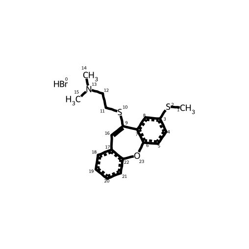 Br.CSc1ccc2c(c1)C(SCCN(C)C)=Cc1ccccc1O2